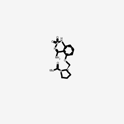 CC(C)(C)C(=O)N1CCC[C@@H]1COc1cccc2c1C(N)=NS(=O)(=O)N2